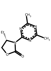 CC[C@H]1COC(=O)N1c1nc(C)nc(C)n1